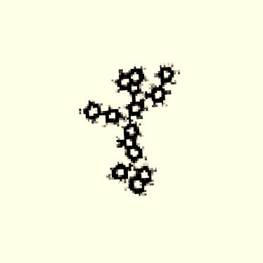 CC1(C)c2cc(N(c3ccc(-c4ccccc4)cc3)c3ccc4c(c3)c3c(n4-c4cccc(-c5ccccc5)c4)-c4cccc5cccc-3c45)ccc2-c2ccc(N(c3ccccc3)c3cccc4ccccc34)cc21